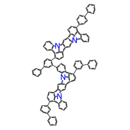 c1ccc(-c2ccc(-c3ccc4c5cc6c(cc5n5c7ccccc7c3c45)c3ccc(-c4ccc(-c5ccccc5)cc4-c4ccc5c7c(-c8cccc(-c9ccccc9)c8)ccc8c9cc%10c(cc9n(c5c4)c87)c4ccc(-c5cccc(-c7ccccc7)c5)c5c7ccccc7n%10c45)c4c5ccccc5n6c34)cc2)cc1